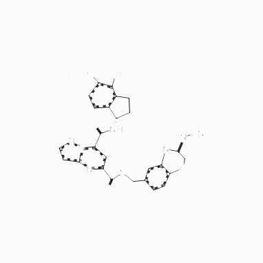 Cc1c(C(=O)O)ccc2c1CC[C@@H]2NC(=O)c1cc(C(=O)NCc2ccc3c(c2)N/C(=N/C#N)CO3)nc2ccnn12